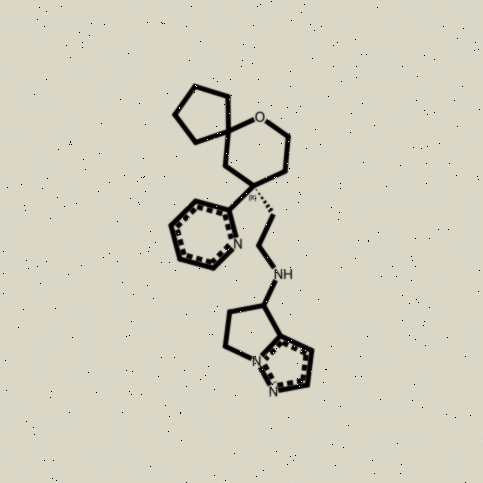 c1ccc([C@]2(CCNC3CCn4nccc43)CCOC3(CCCC3)C2)nc1